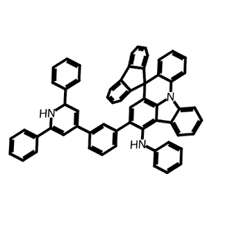 C1=C(c2cccc(-c3cc4c5c(c3Nc3ccccc3)c3ccccc3n5-c3ccccc3C43c4ccccc4-c4ccccc43)c2)C=C(c2ccccc2)NC1c1ccccc1